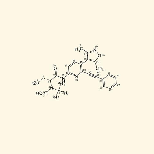 [2H]C([2H])([2H])N(C(=O)O)C(CC(C)(C)C)C(=O)Nc1ccc(-c2c(C)noc2C)c(C#Cc2ccccc2)n1